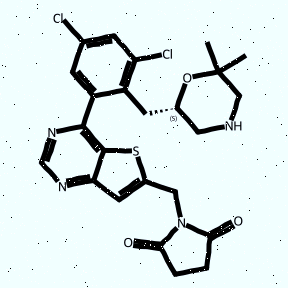 CC1(C)CNC[C@H](Cc2c(Cl)cc(Cl)cc2-c2ncnc3cc(CN4C(=O)CCC4=O)sc23)O1